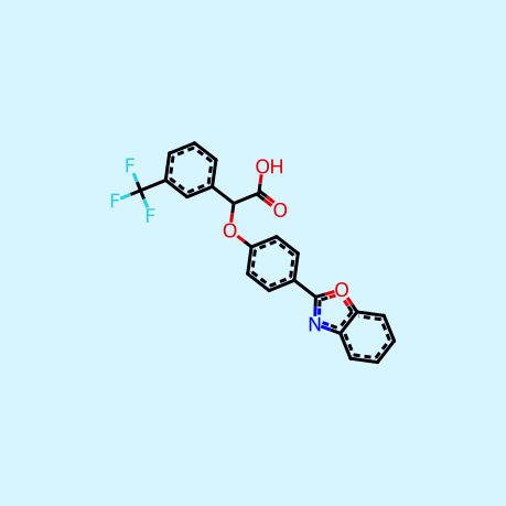 O=C(O)C(Oc1ccc(-c2nc3ccccc3o2)cc1)c1cccc(C(F)(F)F)c1